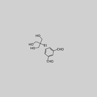 CCC(CO)(CO)CO.O=Cc1cccc(C=O)c1